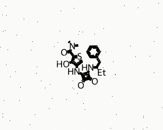 CC[C@@H](Cc1ccccc1)Nc1c(Nc2csc(C(=O)N(C)C)c2O)c(=O)c1=O